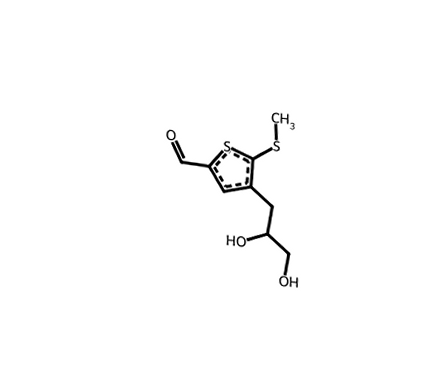 CSc1sc(C=O)cc1CC(O)CO